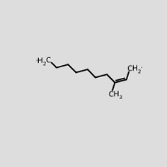 [CH2]C=C(C)CCCCCC[CH2]